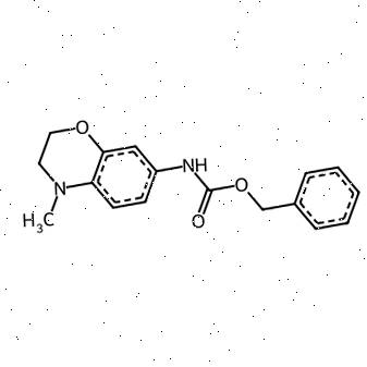 CN1CCOc2cc(NC(=O)OCc3ccccc3)ccc21